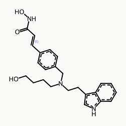 O=C(/C=C/c1ccc(CN(CCCCO)CCc2c[nH]c3ccccc23)cc1)NO